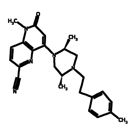 Cc1ccc(CCN2C[C@H](C)N(c3cc(=O)n(C)c4ccc(C#N)nc34)C[C@H]2C)cc1